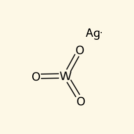 [Ag].[O]=[W](=[O])=[O]